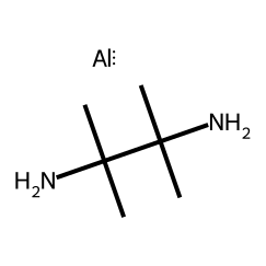 CC(C)(N)C(C)(C)N.[Al]